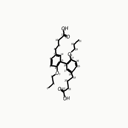 CCCOc1ccc(CCCC(=O)O)cc1-c1cc(CCCC(=O)O)ccc1OCCC